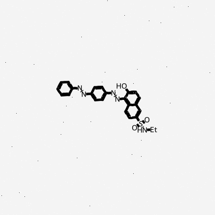 CCNS(=O)(=O)c1ccc2c(N=Nc3ccc(N=Nc4ccccc4)cc3)c(O)ccc2c1